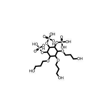 O=P(O)(O)OC1C(OCCCO)C(OCCCO)C(OCCCO)C(OP(=O)(O)O)C1OP(=O)(O)O